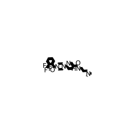 CN(C)CCCNC(=O)c1ccc(N2CCN(C(=O)c3ccccc3C(F)(F)F)CC2)nc1